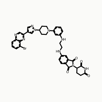 O=C1CCC(N2C(=O)c3ccc(NCCNc4cccc(N5CCC(n6cc(-c7cnc8cccc(Br)c8n7)cn6)CC5)c4)cc3C2=O)C(=O)N1